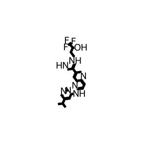 CC(C)c1cnnc(Nc2ccc3ncc(/C(C=N)=C/NCCC(O)C(F)(F)F)cc3n2)c1